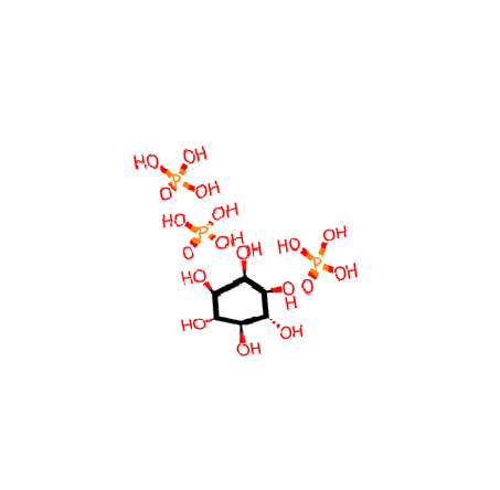 O=P(O)(O)O.O=P(O)(O)O.O=P(O)(O)O.O[C@H]1[C@H](O)[C@@H](O)[C@H](O)[C@@H](O)[C@H]1O